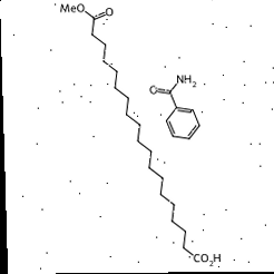 COC(=O)CCCCCCCCCCCCCCCCCC(=O)O.NC(=O)c1ccccc1